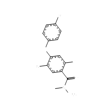 CON(C)C(=O)c1cc(N)c(Sc2ccc(Br)cc2)cc1Cl